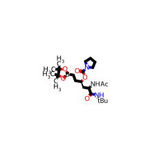 CC(=O)NC(C[C@@H](CCB1OC(C)(C)C(C)(C)O1)OC(=O)N1CCCC1)C(=O)NC(C)(C)C